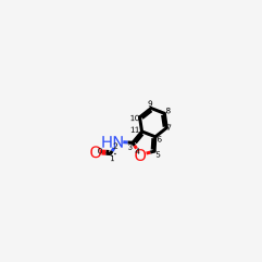 O=[C]Nc1occ2ccccc12